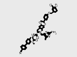 COC(=O)[C@H](Cc1ccc(-c2ccc(C#N)cc2)cc1)NC(=O)[C@@H]1Cc2cc3c(cc2CN1Cc1sc(N)nc1C)OC(c1ccc(OCc2ccc(Cl)c(Cl)c2)cc1)CO3